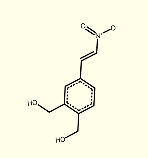 O=[N+]([O-])C=Cc1ccc(CO)c(CO)c1